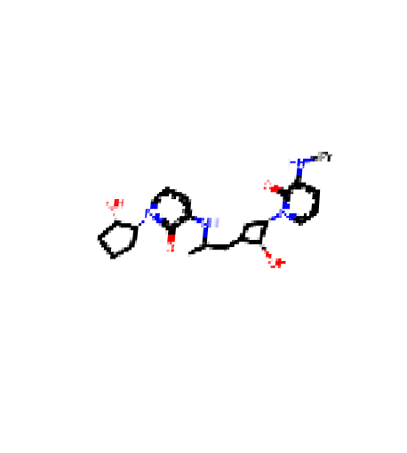 CC(C)Nc1cccn([C@@H]2CC(CC(C)Nc3cccn([C@@H]4CCC[C@@H]4O)c3=O)[C@@H]2O)c1=O